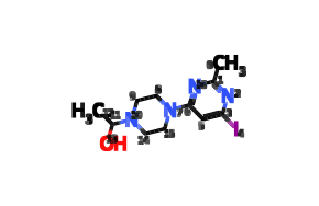 Cc1nc(I)cc(N2CCN(C(C)O)CC2)n1